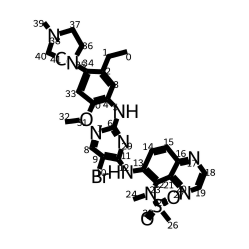 CCc1cc(Nc2ncc(Br)c(Nc3ccc4nccnc4c3N(C)S(C)(=O)=O)n2)c(OC)cc1N1CCN(C)CC1